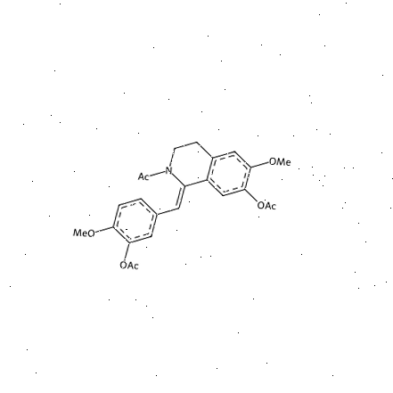 COc1ccc(C=C2c3cc(OC(C)=O)c(OC)cc3CCN2C(C)=O)cc1OC(C)=O